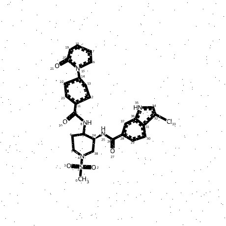 CS(=O)(=O)N1CCC(NC(=O)c2ccc(-n3ccccc3=O)cc2)[C@@H](NC(=O)c2ccc3c(Cl)c[nH]c3c2)C1